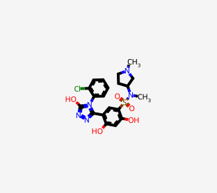 CN1CCC(N(C)S(=O)(=O)c2cc(-c3nnc(O)n3-c3ccccc3Cl)c(O)cc2O)C1